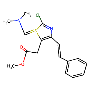 COC(=O)CC1=C(C=Cc2ccccc2)N=C(Cl)S1=CN(C)C